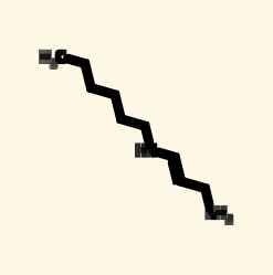 CCCCCCNC=CCN